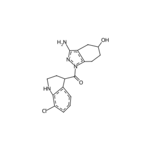 Nc1nn(C(=O)C2CCNc3c(Cl)cccc32)c2c1CC(O)CC2